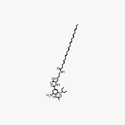 CCC=CCC=CCC=CCC=CCC=CCC=CCCC(=O)NCCCCC(NC(=O)C1=C[C@@H](OC(CC)CC)[C@H](NC(C)=O)[C@@H](N)C1)C(=O)O